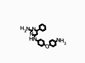 Nc1ccc(Oc2ccc(Nc3cc(-c4ccccc4)nc(N)n3)cc2)cc1